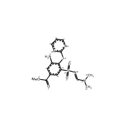 COC(=O)c1cc(N)c(Sc2ncccn2)c(S(=O)(=O)/N=C/N(C)C)c1